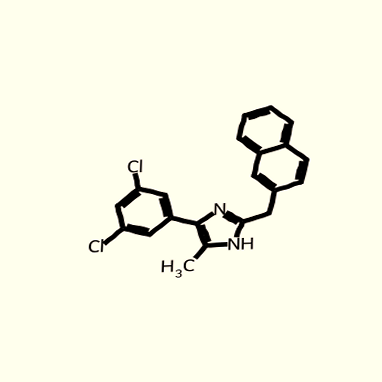 Cc1[nH]c(Cc2ccc3ccccc3c2)nc1-c1cc(Cl)cc(Cl)c1